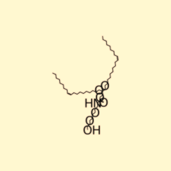 CCCCCCCC/C=C\CCCCCCCCOCC(COC(=O)NCCOCCOCCO)OCCCCCCCC/C=C\CCCCCCCC